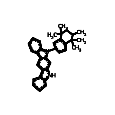 CC1CC(C)(C)c2cc(-n3c4ccccc4c4cc5c(cc43)[nH]c3ccccc35)ccc2C1(C)C